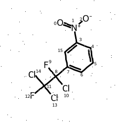 O=[N+]([O-])c1cccc(C(F)(Cl)C(F)(Cl)Cl)c1